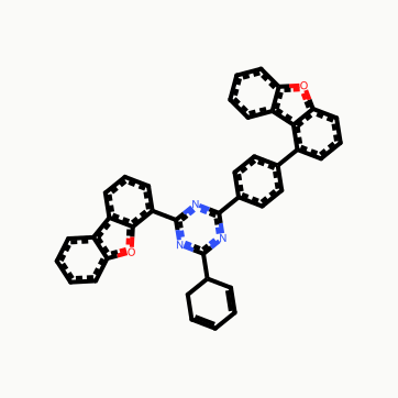 C1=CCC(c2nc(-c3ccc(-c4cccc5oc6ccccc6c45)cc3)nc(-c3cccc4c3oc3ccccc34)n2)C=C1